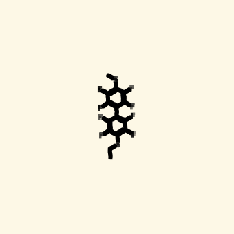 CCSc1c(F)c(F)c(-c2c(F)c(F)c(SC)c(F)c2F)c(F)c1F